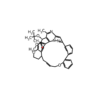 COC(=O)[C@@H](OC(C)(C)C)c1c(C)nc2cc3nn2c1-c1ccc2c(c1)C(CC=CCOc1ccccc1-c1cccc-3c1)CCO2